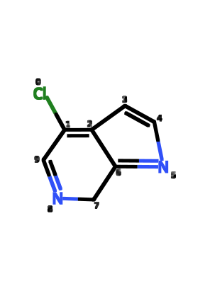 ClC1=C2C=CN=C2CN=C1